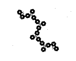 c1ccc(N(c2ccc(-c3ccc(N(c4ccccc4)c4ccc(-c5ccc(N(c6ccccc6)c6ccc(-c7cccc8c7sc7ccccc78)cc6)cc5)cc4)cc3)cc2)c2ccc(-c3ccc(N(c4ccccc4)c4ccc(-c5cccc6c5sc5ccccc56)cc4)cc3)cc2)cc1